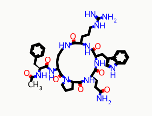 CC(=O)N[C@@H](Cc1ccccc1)C(=O)NC1CCCNC(=O)C(CCCNC(=N)N)NC(=O)C(Cc2c[nH]c3ccccc23)NC(=O)[C@@H](CCC(N)=O)NC(=O)C2CCCN2C1=O